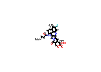 CCC[C@@]1(O)C(=O)OCc2c1cc1n(c2=O)Cc2c-1nc1cc(F)c(C)c3c1c2[C@@H](NC(=O)CCNC)CC3